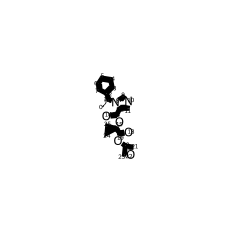 C[C@H](c1ccccc1)n1cncc1C(=O)OC1(C(=O)OC2COC2)CC1